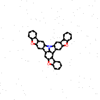 c1ccc2c(c1)oc1cc3c4cc5oc6ccccc6c5c5c6cc7oc8ccccc8c7cc6n(c3cc12)c45